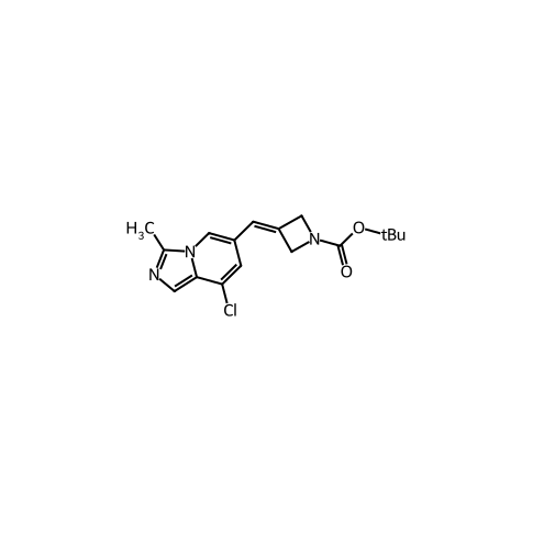 Cc1ncc2c(Cl)cc(C=C3CN(C(=O)OC(C)(C)C)C3)cn12